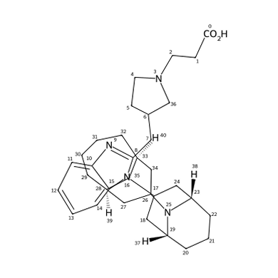 O=C(O)CCN1CCC(Cc2nc3ccccc3n2C2C[C@H]3CCC[C@@H](C2)N3C2C[C@H]3CCCC[C@@H](C2)C3)C1